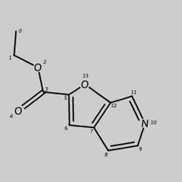 CCOC(=O)c1cc2ccncc2o1